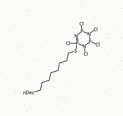 CCCCCCCCCCCCCCCCCCSP1(Cl)=NP(Cl)N(Cl)P(Cl)N1Cl